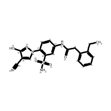 CCc1ccccc1CC(=O)Nc1ccc(-n2cc(C#N)c(O)n2)c(S(N)(=O)=O)c1